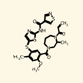 C=CC(=O)N1CCCN(C(=O)c2cc(Sc3cnc(NC(=O)c4cnsc4)s3)c(C)cc2OC)CC1C